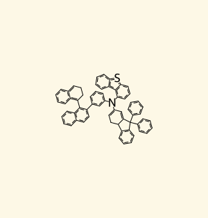 C1=C(N(c2cccc(-c3ccc4ccccc4c3C3=c4ccccc4=CCC3)c2)c2cccc3sc4ccccc4c23)C=C2C(C1)c1ccccc1C2(c1ccccc1)c1ccccc1